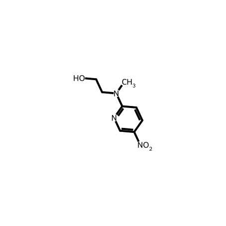 CN(CCO)c1ccc([N+](=O)[O-])cn1